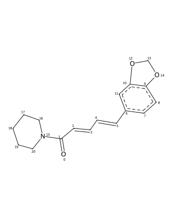 O=C(/C=C/C=Cc1ccc2c(c1)OCO2)N1CCCCC1